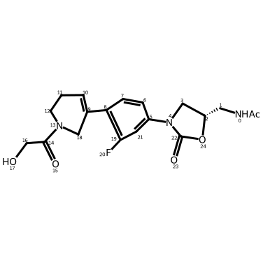 CC(=O)NC[C@H]1CN(c2ccc(C3=CCCN(C(=O)CO)C3)c(F)c2)C(=O)O1